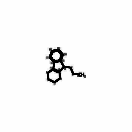 CCCC1C2=C(CCCC2)c2ccccc21